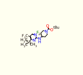 CC(C)(C)OC(=O)N1CC[C@@H](Nc2ncc(C(F)(F)F)[c]([Sn]([CH3])([CH3])[CH3])n2)[C@H](F)C1